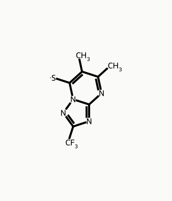 Cc1nc2nc(C(F)(F)F)nn2c([S])c1C